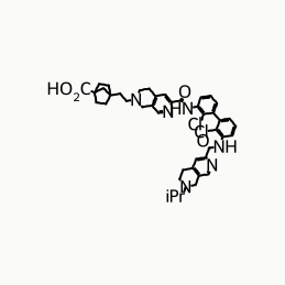 CC(C)N1CCc2cc(C(=O)Nc3cccc(-c4cccc(NC(=O)c5cc6c(cn5)CN(CCC57CCC(C(=O)O)(CC5)C7)CC6)c4Cl)c3Cl)ncc2C1